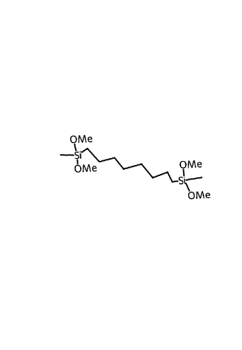 CO[Si](C)(CCCCCCCC[Si](C)(OC)OC)OC